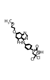 COCCOc1cc(F)c2c(Nc3ccc(N(CC(Cl)(Cl)Cl)C(=O)O)cc3)ncnc2c1